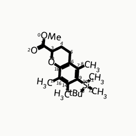 COC(=O)C1CCc2c(C)c([Si](C)(C)C(C)(C)C)c(C)c(C)c2O1